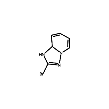 BrC1=NN2C=CC=CC2N1